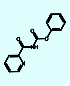 O=C(NC(=O)c1ccccn1)Oc1ccccc1